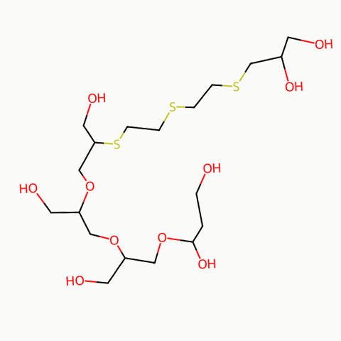 OCCC(O)OCC(CO)OCC(CO)OCC(CO)SCCSCCSCC(O)CO